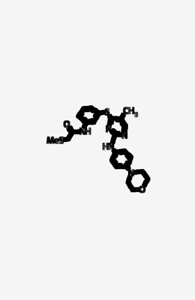 CSCC(=O)Nc1cccc(Sc2nc(Nc3ccc(N4CCOCC4)cc3)ncc2C)c1